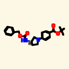 CC(C)(C)OC(=O)c1ccc(N2CC[C@H](NC(=O)OCc3ccccc3)C2)cc1